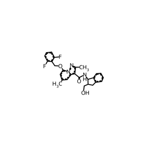 Cc1cc(OCc2c(F)cccc2F)n2nc(C)c(C(=O)NC3c4ccccc4CC3CO)c2c1